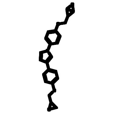 c1cc(-c2ccn(-c3ccc(OCC4C5OC45)cc3)c2)ccc1OCC1CO1